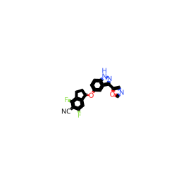 N#Cc1c(F)cc2c(c1F)CC[C@H]2Oc1ccc2[nH]nc(-c3cnco3)c2c1